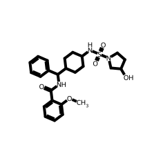 COc1ccccc1C(=O)NC(c1ccccc1)C1CCC(NS(=O)(=O)N2CCC(O)C2)CC1